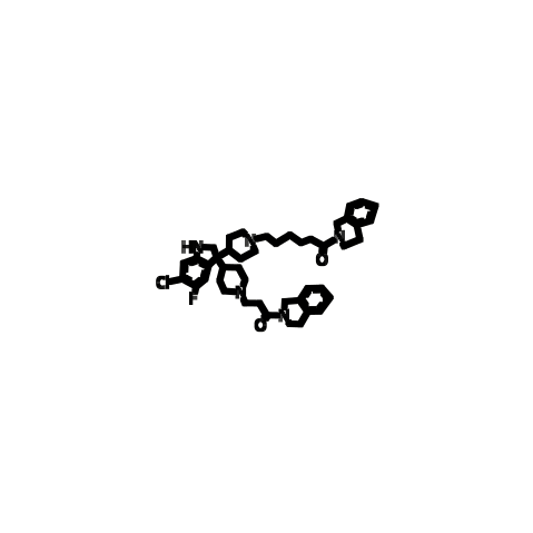 O=C(CCCCCN1CCC(C2(C3CCN(CCC(=O)N4CCc5ccccc5C4)CC3)CNc3cc(Cl)c(F)cc32)CC1)N1CCc2ccccc2C1